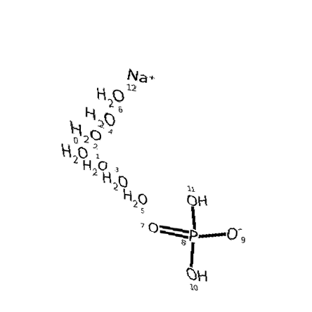 O.O.O.O.O.O.O.O=P([O-])(O)O.[Na+]